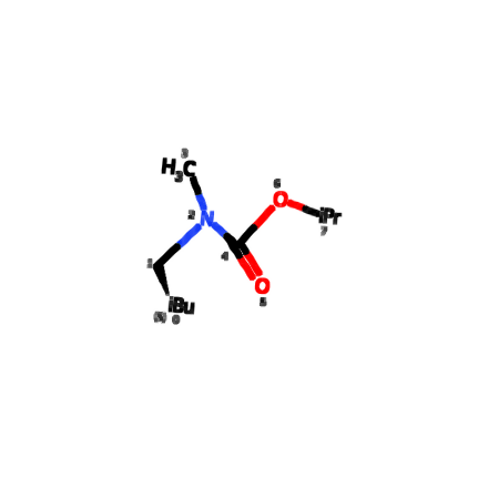 CC[C@H](C)CN(C)C(=O)OC(C)C